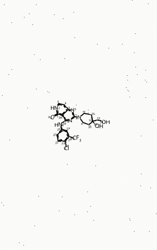 O=c1[nH]ccc2nc(N3CCC(O)(CO)CC3)nc(Nc3ccc(Cl)c(C(F)(F)F)c3)c12